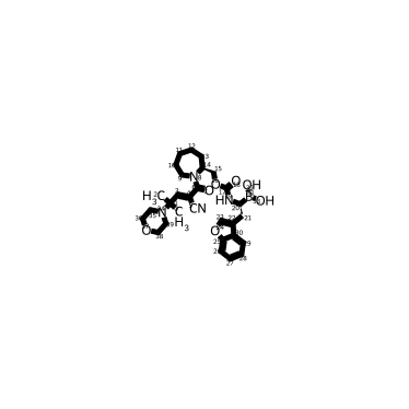 CC(C)(C=C(C#N)C(=O)N1CCCCC[C@H]1COC(=O)N[C@@H](Cc1coc2ccccc12)B(O)O)N1CCOCC1